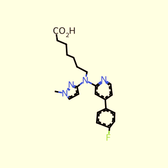 Cn1ccc(N(CCCCCCC(=O)O)c2cc(-c3ccc(F)cc3)ccn2)n1